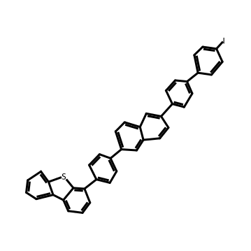 Ic1ccc(-c2ccc(-c3ccc4cc(-c5ccc(-c6cccc7c6sc6ccccc67)cc5)ccc4c3)cc2)cc1